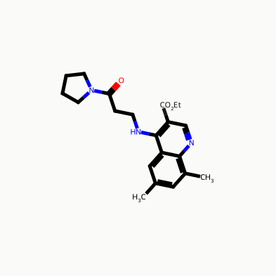 CCOC(=O)c1cnc2c(C)cc(C)cc2c1NCCC(=O)N1CCCC1